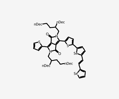 CCCCCCCCCCCCC(CCCCCCCCCC)CN1C(=O)C2=C(c3ccc(-c4ccc(C=Cc5ccc[se]5)[se]4)s3)N(CC(CCCCCCCCCC)CCCCCCCCCCCC)C(=O)C2=C1c1cccs1